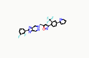 Fc1cccc(-c2nc3cnn(Cc4cc(-c5ccc(-c6ccccn6)cc5C(F)(F)F)no4)cc-3n2)c1F